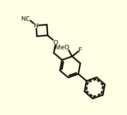 COC1(F)CC(c2ccccc2)=CC=C1COC1CN(C#N)C1